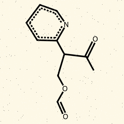 CC(=O)C(COC=O)c1ccccn1